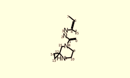 C=C(/N=N\C(I)=C/C)N1CCNC2(CC2)C1